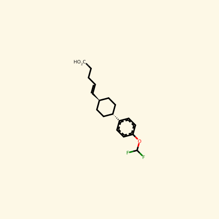 O=C(O)CCC=C[C@H]1CC[C@H](c2ccc(OC(F)F)cc2)CC1